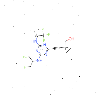 C[C@@H](Nc1nc(C#CC2(CO)CC2)nc(NC(CF)CF)n1)C(F)(F)F